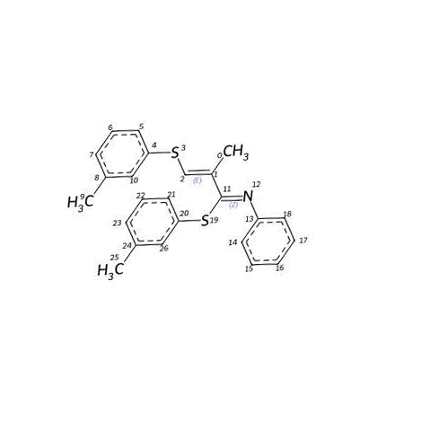 CC(=C\Sc1cccc(C)c1)/C(=N/c1ccccc1)Sc1cccc(C)c1